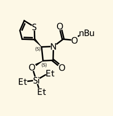 CCCCOC(=O)N1C(=O)[C@@H](O[Si](CC)(CC)CC)[C@H]1c1cccs1